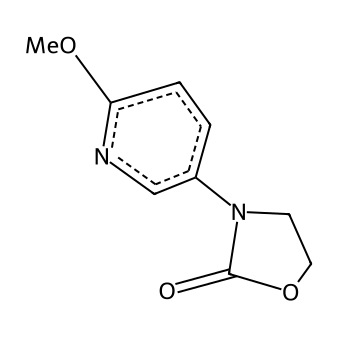 COc1ccc(N2CCOC2=O)cn1